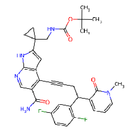 Cn1cccc(C(CC#Cc2c(C(N)=O)cnc3[nH]c(C4(CNC(=O)OC(C)(C)C)CC4)cc23)c2cc(F)ccc2F)c1=O